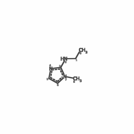 CCNc1nccn1C